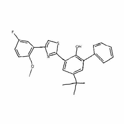 COc1ccc(F)cc1-c1csc(-c2cc(C(C)(C)C)cc(-c3ccccc3)c2O)n1